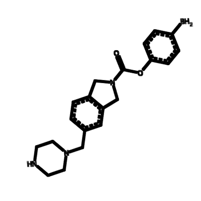 Bc1ccc(OC(=O)N2Cc3ccc(CN4CCNCC4)cc3C2)cc1